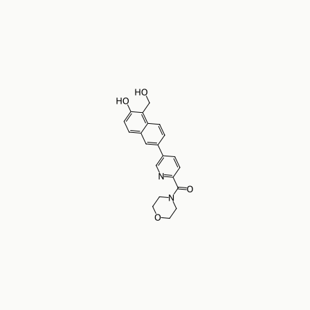 O=C(c1ccc(-c2ccc3c(CO)c(O)ccc3c2)cn1)N1CCOCC1